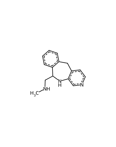 CNCC1Nc2cnccc2Cc2ccccc21